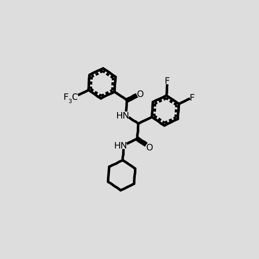 O=C(NC(C(=O)NC1CCCCC1)c1ccc(F)c(F)c1)c1cccc(C(F)(F)F)c1